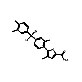 CCC(CC)(c1ccc(C)c(C)c1)c1ccc(-c2sc(C(=O)OC)cc2C)c(C)c1